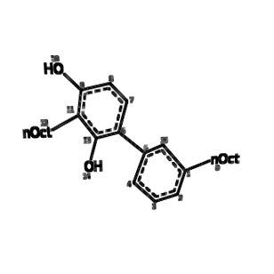 CCCCCCCCc1cccc(-c2ccc(O)c(CCCCCCCC)c2O)c1